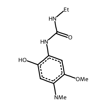 CCNC(=O)Nc1cc(OC)c(NC)cc1O